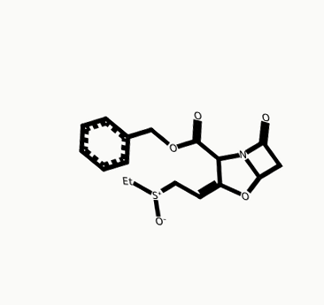 CC[S+]([O-])CC=C1OC2CC(=O)N2C1C(=O)OCc1ccccc1